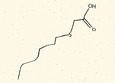 CCCCCCSCC(=O)O